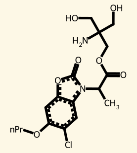 CCCOc1cc2oc(=O)n(C(C)C(=O)OCC(N)(CO)CO)c2cc1Cl